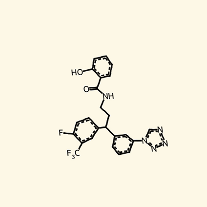 O=C(NCCC(c1cccc(-n2cnnn2)c1)c1ccc(F)c(C(F)(F)F)c1)c1ccccc1O